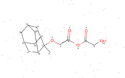 CC1(OCC(=O)OC(=O)CO)C2CC3CC(C2)CC1C3